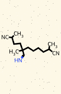 CC(C#N)CCCCC(C)(C=N)CCC(C)C#N